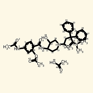 CC(=O)Nc1ccc(C(=O)NC2CCN(C(C)CC(C(=O)N(C)C)(c3ccccc3)c3ccccc3)CC2O)c(OC(C)=O)c1.CC(=O)O